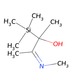 CN=C(C)C(C)(O)[Si](C)(C)C